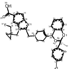 C[C@@]1(c2ccc(Cl)cn2)Oc2ccccc2[C@H](C2=CCN(Cc3nc4ccc(C(=O)O)cc4n3CC3(CF)CC3)CC2)O1